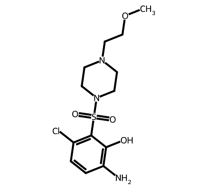 COCCN1CCN(S(=O)(=O)c2c(Cl)ccc(N)c2O)CC1